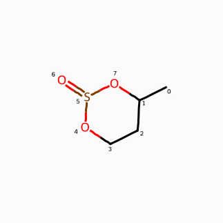 CC1CCOS(=O)O1